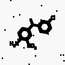 CC(c1cccc(Cl)c1)c1ccc(N)c([N+](=O)[O-])c1